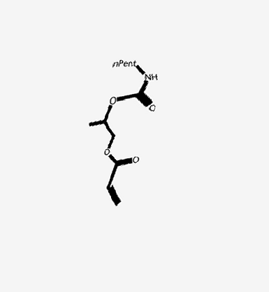 C=CC(=O)OCC(C)OC(=O)NCCCCC